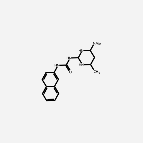 CNC1CC(C)NC(NC(=O)Nc2ccc3ccccc3c2)N1